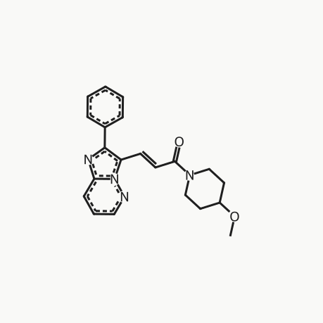 COC1CCN(C(=O)/C=C/c2c(-c3ccccc3)nc3cccnn23)CC1